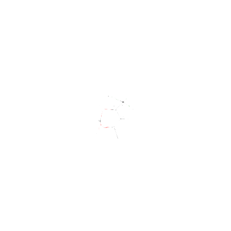 CC1OCOC(C(F)(F)F)C1C